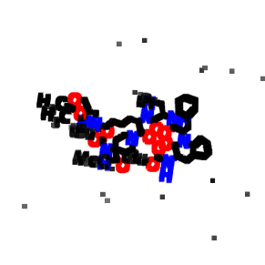 COC(=O)C1(NC(=O)OC(C)(C)C)CCN(C(=O)[C@@H](CCCCNC[C@@H]2COC(C)(C)O2)NC(=O)[C@@H](CC(C)C)NC(=O)[C@@H](Cc2ccccc2)N2C(=O)[C@H](NC(=O)OC(C)(C)C)Cc3ccccc32)CC1